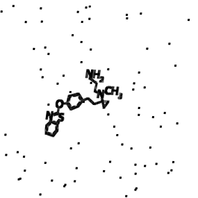 CN(CCCN)C1(CCc2ccc(Oc3nc4ccccc4s3)cc2)CC1